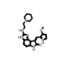 COc1cc[nH]c1C=C1C(=O)Nc2ccc3[nH]c(NCCN4CCCCC4)nc3c21